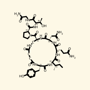 CC[C@H](C)[C@@H]1NC(=O)[C@H](Cc2ccc(O)cc2)NC(=O)CCC(=O)NC[C@@H](C(=O)N2CCC[C@H]2C(=O)N[C@H](C(=O)NCC(N)=O)[C@@H](C)O)NC(=O)[C@H](CC(N)=O)NC(=O)[C@H](CCC(N)=O)NC1=O